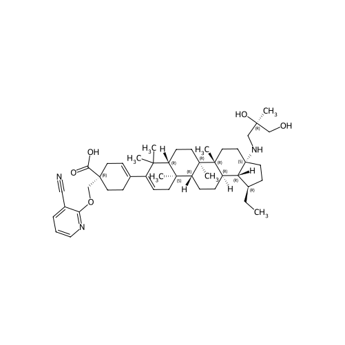 CC[C@@H]1CC[C@]2(NC[C@@](C)(O)CO)CC[C@]3(C)[C@H](CC[C@@H]4[C@@]5(C)CC=C(C6=CC[C@](COc7ncccc7C#N)(C(=O)O)CC6)C(C)(C)[C@@H]5CC[C@]43C)[C@@H]12